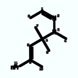 C/C=N\N(C)C(C)(C)/C=C(\C)CCC